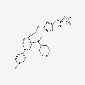 CC(C)(Sc1nc(CCOc2ccc(-c3ccc(F)cc3)cc2C(=O)N2CCOCC2)cs1)C(=O)O